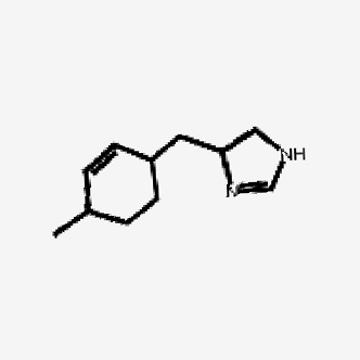 CC1C=CC(CC2CNC=N2)CC1